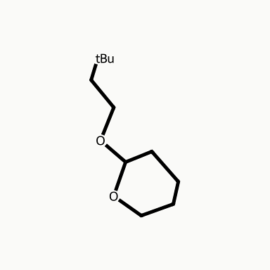 CC(C)(C)CCOC1CCCCO1